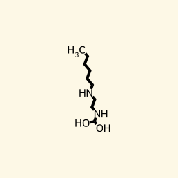 CCCCCCNCCNC(O)O